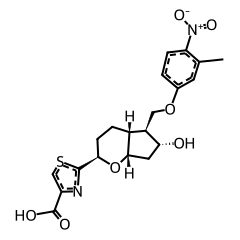 Cc1cc(OC[C@@H]2[C@H]3CC[C@H](c4nc(C(=O)O)cs4)O[C@H]3C[C@H]2O)ccc1[N+](=O)[O-]